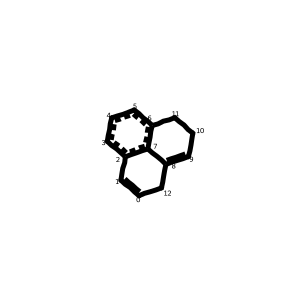 C1=Cc2cccc3c2C(=CCC3)C1